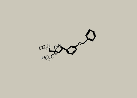 O=C(O)C[C@@]1(C(=O)O)CC(c2cccc(OCc3ccccc3)c2)=NO1